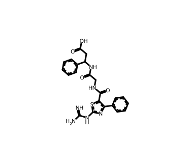 N=C(N)Nc1nc(-c2ccccc2)c(C(=O)NCC(=O)NC(CC(=O)O)c2ccccc2)s1